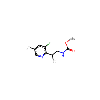 CCC(CNC(=O)OC(C)(C)C)c1ncc(C(F)(F)F)cc1Cl